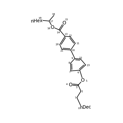 CCCCCCCCCCCCC(=O)Oc1ccc(-c2ccc(C(=O)OC(C)CCCCCC)cc2)cc1